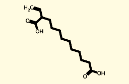 C=CC(CCCCCCCCCC(=O)O)C(=O)O